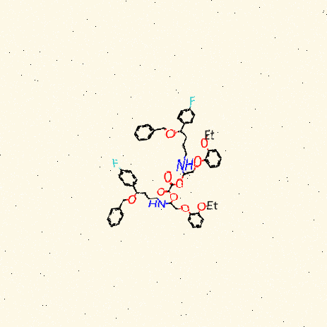 CCOc1ccccc1OCC(NCCCC(OCc1ccccc1)c1ccc(F)cc1)OC(=O)C(=O)OC(COc1ccccc1OCC)NCCCC(OCc1ccccc1)c1ccc(F)cc1